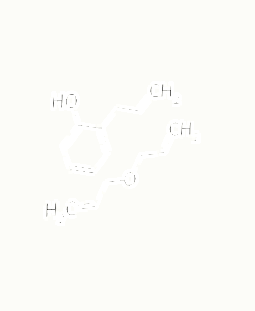 C=CCOCC=C.C=CCc1ccccc1O